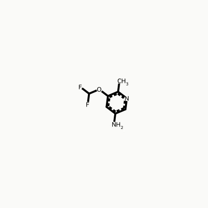 Cc1ncc(N)cc1OC(F)F